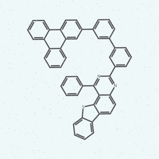 c1ccc(-c2nc(-c3cccc(-c4cccc(-c5ccc6c7ccccc7c7ccccc7c6c5)c4)c3)nc3ccc4c5ccccc5sc4c23)cc1